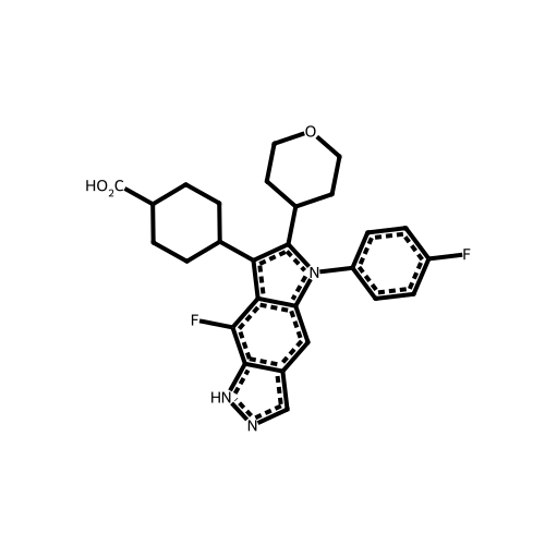 O=C(O)C1CCC(c2c(C3CCOCC3)n(-c3ccc(F)cc3)c3cc4cn[nH]c4c(F)c23)CC1